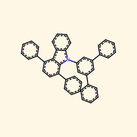 c1ccc(-c2cc(-c3ccccc3)cc(-n3c4ccccc4c4c(-c5ccccc5)ccc(-c5ccccc5)c43)c2)cc1